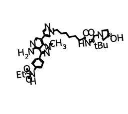 CCS(=O)(=O)Nc1ccc(-c2nn(C)c3c(-c4cnn(CCCCCCC(=O)N[C@H](C(=O)N5CC[C@@H](O)C5)C(C)(C)C)c4)cnc(N)c23)cc1